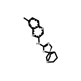 Cc1ccc2ncc(NC3=NC[C@@]4(CN5CCC4CC5)O3)nc2c1